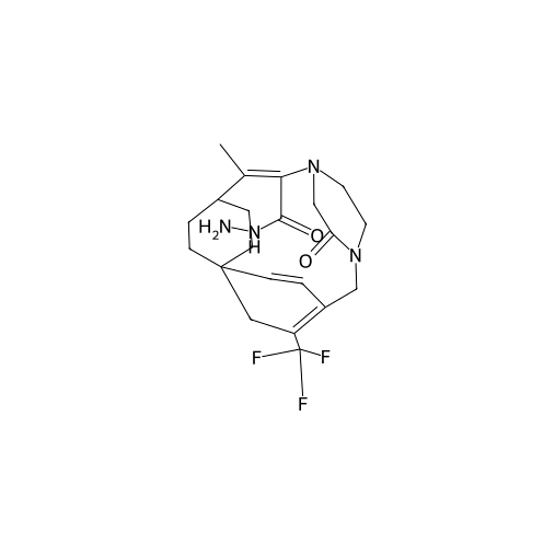 C/C1=C(/C(=O)NN)N2CCN(CC3=C(C(F)(F)F)CC4(C=C3)CCC1CC4)C(=O)C2